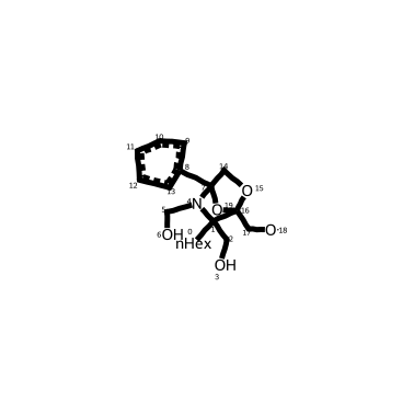 CCCCCCC1(CO)N(CO)C2(c3ccccc3)COC1(C[O])O2